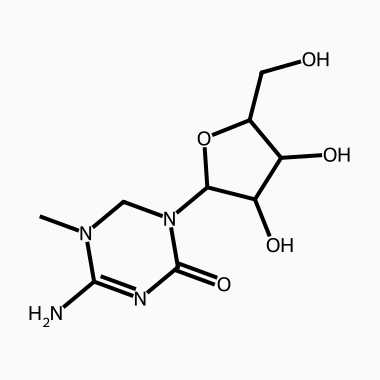 CN1CN(C2OC(CO)C(O)C2O)C(=O)N=C1N